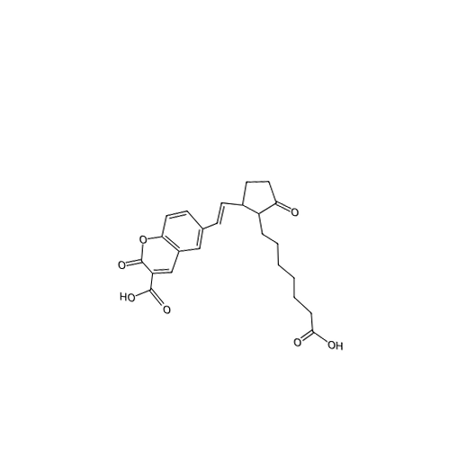 O=C(O)CCCCCCC1C(=O)CCC1/C=C/c1ccc2oc(=O)c(C(=O)O)cc2c1